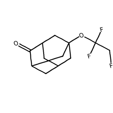 O=C1C2CC3CC1CC(OC(F)(F)CF)(C3)C2